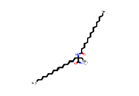 CCCCCCCCC=CCCCCCCC(CC)(NC(=O)CCCCCCCCCCCCCCC)C(N)=O